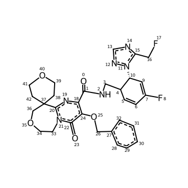 O=C(NCC1C=CC(F)=C[C@H]1n1ncnc1CF)c1nc2n(c(=O)c1OCc1ccccc1)CCOCC21CCOCC1